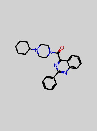 O=C(c1nc(-c2ccccc2)nc2ccccc12)N1CCN(C2CCCCC2)CC1